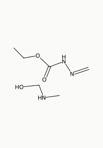 C=NNC(=O)OCC.CNCO